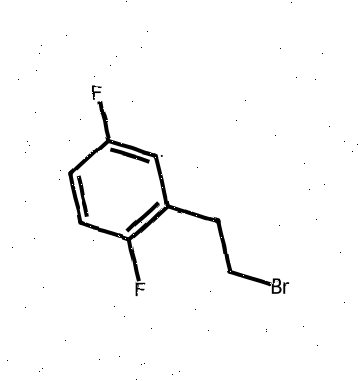 Fc1[c]c(CCBr)c(F)cc1